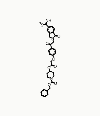 CSC(=N)c1ccc2c(c1)CN(CC(=O)c1ccc(OCC(=O)OC3CCN(C(=O)OCc4ccccc4)CC3)cc1)C2=O